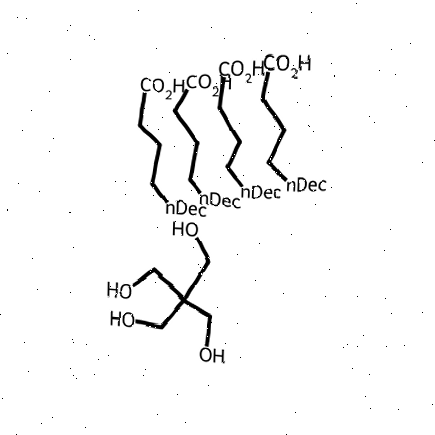 CCCCCCCCCCCCCC(=O)O.CCCCCCCCCCCCCC(=O)O.CCCCCCCCCCCCCC(=O)O.CCCCCCCCCCCCCC(=O)O.OCC(CO)(CO)CO